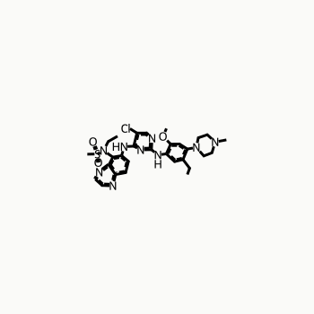 CCc1cc(Nc2ncc(Cl)c(Nc3ccc4nccnc4c3N(CC)S(C)(=O)=O)n2)c(OC)cc1N1CCN(C)CC1